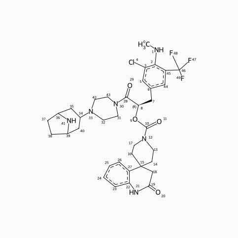 CNc1c(Cl)cc(C[C@@H](OC(=O)N2CCC3(CC2)CC(=O)Nc2ccccc23)C(=O)N2CCN(C3CC4CCC(C3)N4)CC2)cc1C(F)(F)F